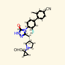 Cc1cc(C#N)ccc1-c1ccc(-n2c(C[C@@H]3CCN(C4(C=O)CC4)C3)n[nH]c2=O)c(F)c1